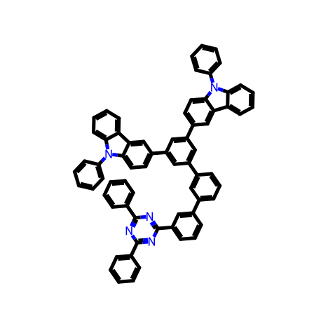 c1ccc(-c2nc(-c3ccccc3)nc(-c3cccc(-c4cccc(-c5cc(-c6ccc7c(c6)c6ccccc6n7-c6ccccc6)cc(-c6ccc7c(c6)c6ccccc6n7-c6ccccc6)c5)c4)c3)n2)cc1